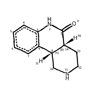 O=C1Nc2ccccc2[C@H]2CNCC[C@@H]12